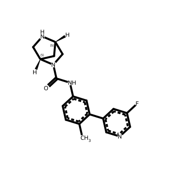 Cc1ccc(NC(=O)N2C[C@@H]3C[C@H]2CN3)cc1-c1cncc(F)c1